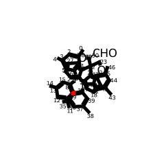 Cc1cc(C)cc(P(c2cc(C)cc(C)c2)c2cccc3c2C2(CO3)c3c(cccc3P(c3cc(C)cc(C)c3)c3cc(C)cc(C)c3)O[C@@H]2C=O)c1